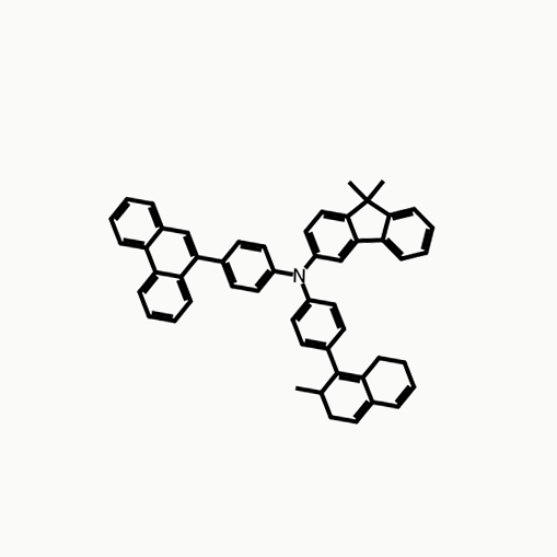 CC1CC=C2C=CCCC2=C1c1ccc(N(c2ccc(-c3cc4ccccc4c4ccccc34)cc2)c2ccc3c(c2)-c2ccccc2C3(C)C)cc1